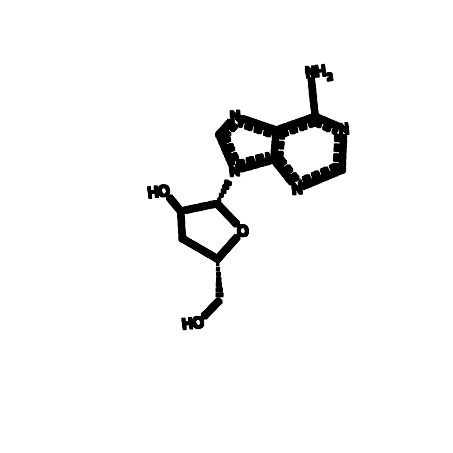 Nc1ncnc2c1ncn2[C@@H]1O[C@H](CO)CC1O